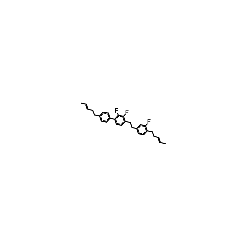 C/C=C/CCc1ccc(-c2ccc(CCc3ccc(CC/C=C/C)c(F)c3)c(F)c2F)cc1